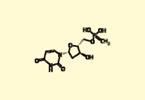 C=P(O)(O)OC[C@H]1O[C@@H](n2ccc(=O)[nH]c2=O)C[C@@H]1O